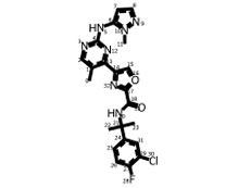 Cc1cnc(Nc2ccnn2C)nc1-c1coc(C(=O)NC(C)(C)c2ccc(F)c(Cl)c2)n1